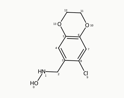 ONCc1cc2c(cc1Cl)OCCO2